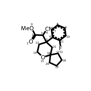 COC(=O)C(C#N)C1(c2ccccc2F)CCOC2(CCCC2)C1